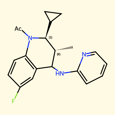 CC(=O)N1c2ccc(F)cc2C(Nc2ccccn2)[C@@H](C)[C@@H]1C1CC1